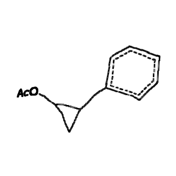 CC(=O)OC1CC1c1ccccc1